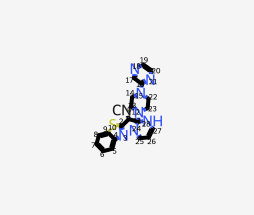 N#CC(c1nc2ccccc2s1)C1(N2CCN(c3cnccn3)CC2)N=CC=CN1